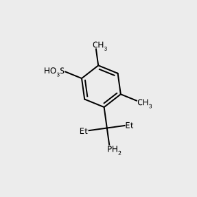 CCC(P)(CC)c1cc(S(=O)(=O)O)c(C)cc1C